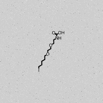 O=C(O)NCCOCCOCCCCCI